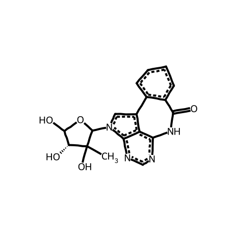 CC1(O)C(n2cc3c4c(ncnc42)NC(=O)c2ccccc2-3)OC(O)[C@H]1O